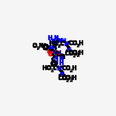 N=C(N)NCCC[C@H](NC(=O)[C@H](Cc1ccccc1)NC(=O)[C@H]1CCCN1)C(=O)Nc1ccc([N+](=O)[O-])cc1.O=C(O)CN(CCN(CC(=O)O)CC(=O)O)CC(=O)O.O=C(O)CN(CCN(CC(=O)O)CC(=O)O)CC(=O)O